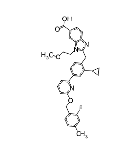 COCCn1c(Cc2ccc(-c3cccc(OCc4ccc(C)cc4F)n3)cc2C2CC2)nc2ccc(C(=O)O)cc21